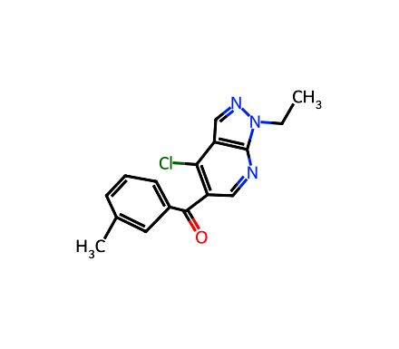 CCn1ncc2c(Cl)c(C(=O)c3cccc(C)c3)cnc21